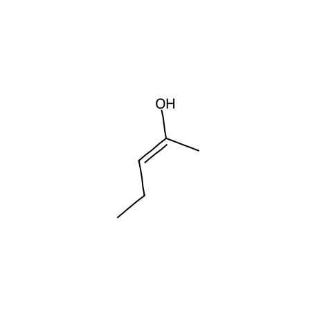 CC/C=C(\C)O